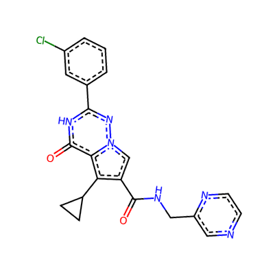 O=C(NCc1cnccn1)c1cn2nc(-c3cccc(Cl)c3)[nH]c(=O)c2c1C1CC1